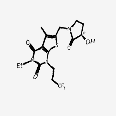 CCn1c(=O)c2c(C)c(CN3CC[C@@H](O)C3=O)sc2n(CCC(F)(F)F)c1=O